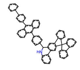 c1ccc(-c2ccc(-c3c4ccccc4c(-c4ccc(C5Nc6ccccc6-c6cc7c(cc65)-c5ccccc5C75c6ccccc6-c6ccccc65)cc4)c4ccccc34)cc2)cc1